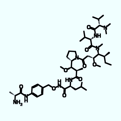 CC[C@H](C)[C@@H]([C@@H](CC(=O)N1CCC[C@H]1[C@H](OC)[C@@H](C)C(=O)N[C@@H](CC(C)C)C(=O)NOCc1ccc(NC(=O)[C@@H](C)N)cc1)OC)N(C)C(=O)[C@@H](NC(=O)[C@H](C(C)C)N(C)C)C(C)C